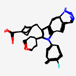 Cc1cc(-n2c(C3CCOCC3)c(CC34CC(C(=O)O)(C3)C4)c3cc4[nH]ncc4cc32)ccc1F